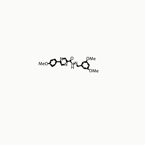 COc1ccc(-c2cnc(C(=O)N/N=C/c3cc(OC)cc(OC)c3)cn2)cc1